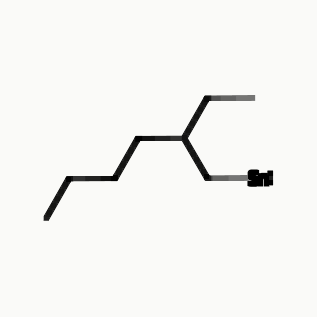 CCCCC(CC)[CH2][Sn]